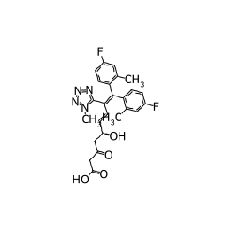 Cc1cc(F)ccc1C(=C(C=C[C@@H](O)CC(=O)CC(=O)O)c1nnnn1C)c1ccc(F)cc1C